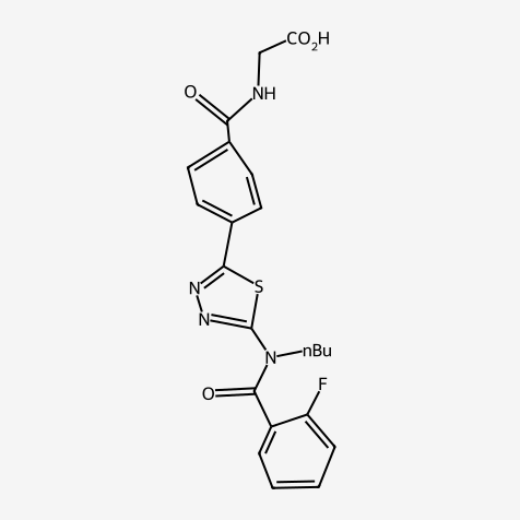 CCCCN(C(=O)c1ccccc1F)c1nnc(-c2ccc(C(=O)NCC(=O)O)cc2)s1